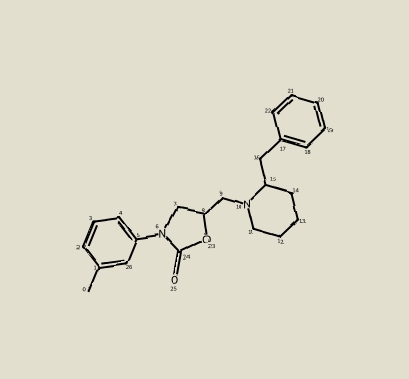 Cc1cccc(N2CC(CN3CCCCC3Cc3ccccc3)OC2=O)c1